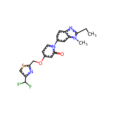 CCc1nc2ccc(-n3ccc(OCc4nc(C(F)F)cs4)cc3=O)cc2n1C